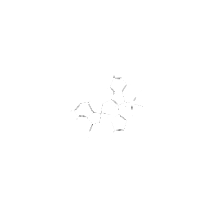 CC1(Cc2c(-c3cccs3)n(S(C)(=O)=O)c3ccccc23)CC(=O)c2ccccc21